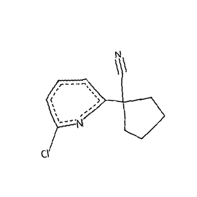 N#CC1(c2cccc(Cl)n2)CCCC1